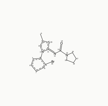 Cc1cn(-c2ccccc2Br)c(=NC(=O)N2CCCC2)s1